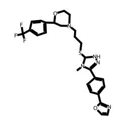 CN1C(c2ccc(-c3ncco3)cc2)=NNC1SCCCN1CCOC(c2ccc(C(F)(F)F)cc2)C1